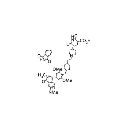 CNc1cc2c(=O)n(C)cc(-c3cc(OC)c(CN4CCC(CCN5CCN(C6CC(C(=O)O)C(=O)NC6=O)CC5)CC4)c(OC)c3)c2cn1.O=C1NC(=O)c2ccccc21